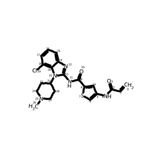 C=CC(=O)Nc1csc(C(=O)Nc2nc3cccc(Cl)c3n2C2CCN(C)CC2)c1